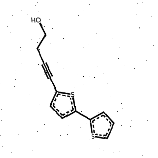 OCCC#Cc1ccc(-c2cccs2)s1